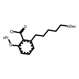 CCCCCCCCCCCCCCCc1cccc(OCCC)c1C(=O)Cl